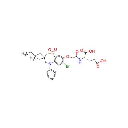 CCCCC1(CC)CN(c2ccccc2)c2cc(Br)c(OCC(=O)N[C@@H](CCC(=O)O)C(=O)O)cc2S(=O)(=O)C1